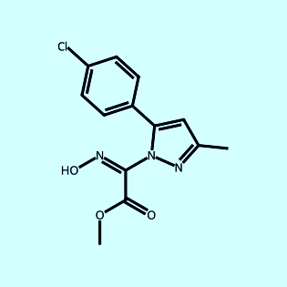 COC(=O)C(=NO)n1nc(C)cc1-c1ccc(Cl)cc1